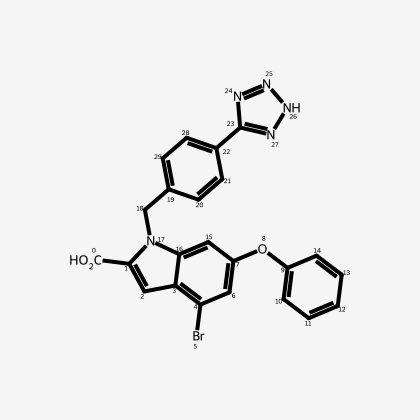 O=C(O)c1cc2c(Br)cc(Oc3ccccc3)cc2n1Cc1ccc(-c2nn[nH]n2)cc1